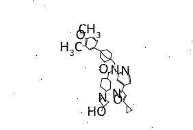 COc1ccc(C23CCC(CN(C(=O)C4CCC(N5CC(O)C5)CC4)c4cc(-c5cc(C6CC6)on5)ccn4)(CC2)CC3)cc1C